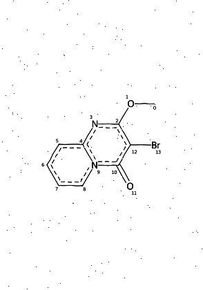 COc1nc2ccccn2c(=O)c1Br